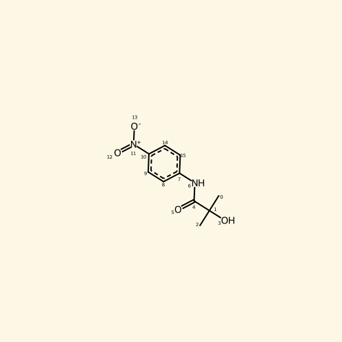 CC(C)(O)C(=O)Nc1ccc([N+](=O)[O-])cc1